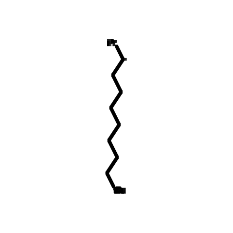 CC(C)[CH]CCCCCCCC(C)(C)C